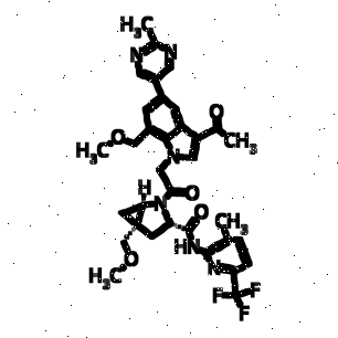 COCc1cc(-c2cnc(C)nc2)cc2c(C(C)=O)cn(CC(=O)N3[C@H](C(=O)Nc4nc(C(F)(F)F)ccc4C)C[C@@]4(COC)C[C@@H]34)c12